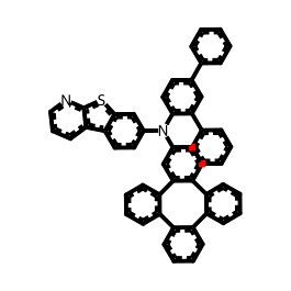 c1ccc(-c2ccc(N(c3ccc4c(c3)-c3ccccc3-c3ccccc3-c3ccccc3-4)c3ccc4c(c3)sc3ncccc34)c(-c3ccccc3)c2)cc1